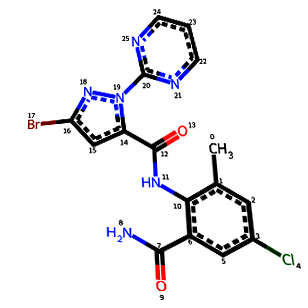 Cc1cc(Cl)cc(C(N)=O)c1NC(=O)c1cc(Br)nn1-c1ncccn1